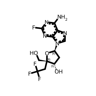 Nc1nc(F)nc2c1ncn2[C@H]1C[C@H](O)[C@](CO)(CC(F)(F)F)O1